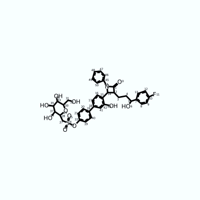 O=C1C(CCC(O)c2ccc(F)cc2)C(c2ccc(-c3ccc(OS(=O)(=O)CC4OC(CO)C(O)C(O)C4O)cc3)cc2O)N1c1ccccc1